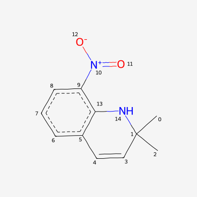 CC1(C)C=Cc2cccc([N+](=O)[O-])c2N1